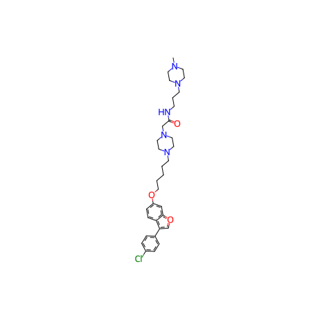 CN1CCN(CCCNC(=O)CN2CCN(CCCCCOc3ccc4c(-c5ccc(Cl)cc5)coc4c3)CC2)CC1